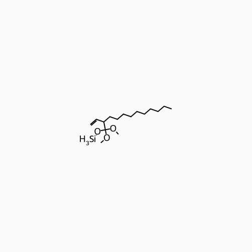 C=CC(CCCCCCCCCC)C(OC)(OC)O[SiH3]